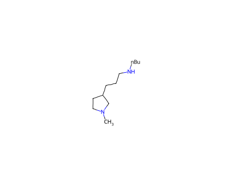 CCCCNCCCC1CCN(C)C1